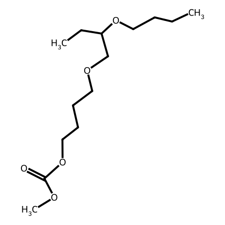 CCCCOC(CC)COCCCCOC(=O)OC